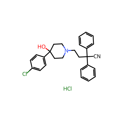 Cl.N#CC(CCN1CCC(O)(c2ccc(Cl)cc2)CC1)(c1ccccc1)c1ccccc1